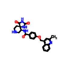 Cc1cc(COc2ccc(C(=O)N[C@H]3CNCC[C@@]34NC(=O)NC4=O)cc2)c2ccccc2n1